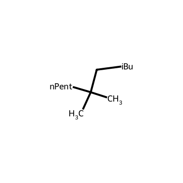 [CH2]CCCCC(C)(C)CC(C)CC